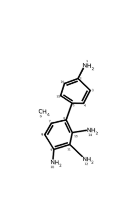 C.Nc1ccc(-c2ccc(N)c(N)c2N)cc1